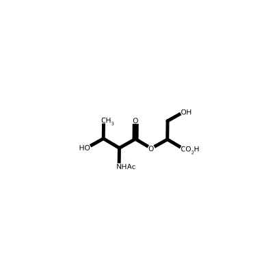 CC(=O)NC(C(=O)OC(CO)C(=O)O)C(C)O